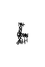 CCCn1ccnc1C1CCN(C2CCN(C(=O)C(Cc3cc(C)c4[nH]ncc4c3)NC(=O)N3CCC(c4cc5ccccc5[nH]c4=O)CC3)CC2)CC1